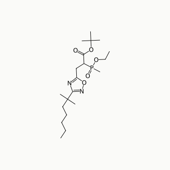 CCCCCC(C)(C)c1noc(CC(C(=O)OC(C)(C)C)P(C)(=O)OCC)n1